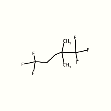 CC(C)(CCC(F)(F)F)C(F)(F)F